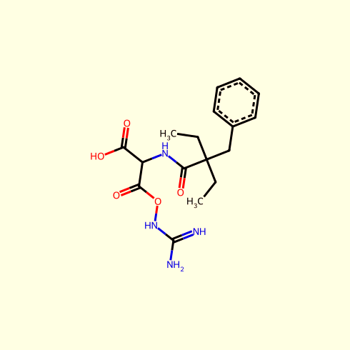 CCC(CC)(Cc1ccccc1)C(=O)NC(C(=O)O)C(=O)ONC(=N)N